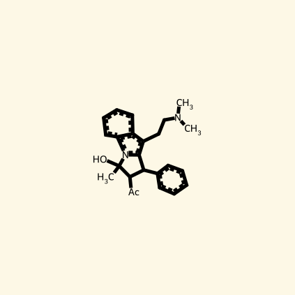 CC(=O)C1C(c2ccccc2)c2c(CCN(C)C)c3ccccc3n2C1(C)O